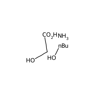 CCCCO.N.O=C(O)CO